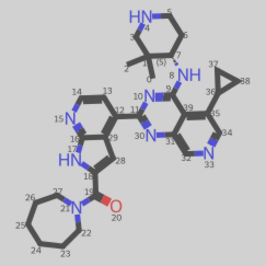 CC1(C)CNCC[C@@H]1Nc1nc(-c2ccnc3[nH]c(C(=O)N4CCCCCC4)cc23)nc2cncc(C3CC3)c12